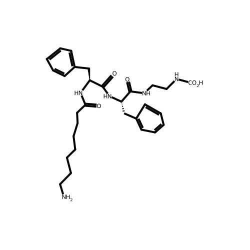 NCCCCCCCC(=O)N[C@@H](Cc1ccccc1)C(=O)N[C@@H](Cc1ccccc1)C(=O)NCCNC(=O)O